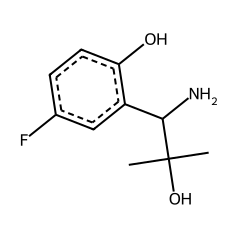 CC(C)(O)C(N)c1cc(F)ccc1O